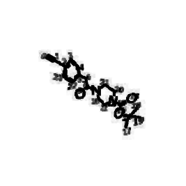 C#Cc1ccc(CC(=O)N2CCN(C(=O)OC(C)(C)C)CC2)cc1